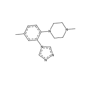 Cc1ccc(N2CCN(C)CC2)c(-n2cnnc2)c1